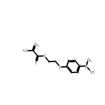 C=C(C)C(=O)OCCOc1ccc(N(C)C)cc1